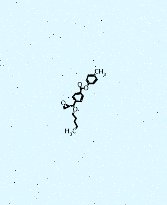 CCCCCOC(c1ccc(C(=O)Oc2ccc(C)cc2)cc1)C1CO1